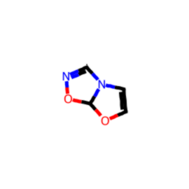 [C]1=NOC2OC=CN12